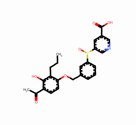 CCCc1c(OCc2cccc([S+]([O-])c3cncc(C(=O)O)c3)c2)ccc(C(C)=O)c1O